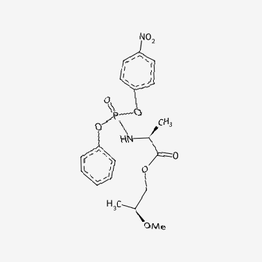 CO[C@@H](C)COC(=O)[C@H](C)NP(=O)(Oc1ccccc1)Oc1ccc([N+](=O)[O-])cc1